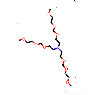 COCCOCOCCN(CCOCOCCOC)CCOCOCCOC